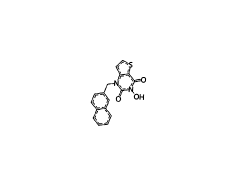 O=c1c2sccc2n(Cc2ccc3ccccc3c2)c(=O)n1O